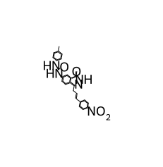 Cc1ccc(NC(=O)Nc2ccc3c(CC=Cc4ccc([N+](=O)[O-])cc4)n[nH]c(=O)c3c2)cc1